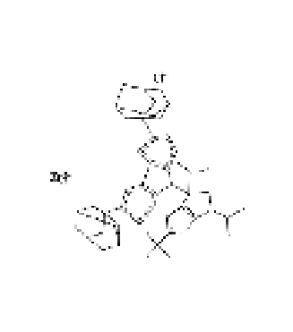 CC(C)C1CC(C(C)C)(C2c3ccc(C45CC6CC(CC(C6)C4)C5)cc3-c3cc(C45CC6CC(CC(C6)C4)C5)ccc32)C2=C1CC(C(C)(C)C)=C2.[Cl-].[Cl-].[Zr+2]